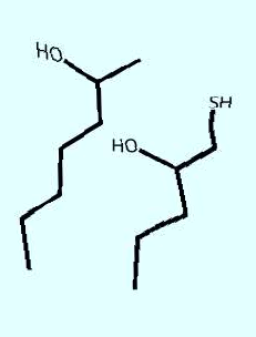 CCCC(O)CS.CCCCCC(C)O